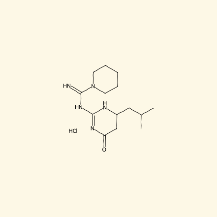 CC(C)CC1CC(=O)N=C(NC(=N)N2CCCCC2)N1.Cl